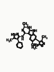 COc1cc2c3c([nH]c2cc1-c1c(C)noc1C)NC(C)N=C3Nc1n[nH]c(C)c1-c1ccccc1